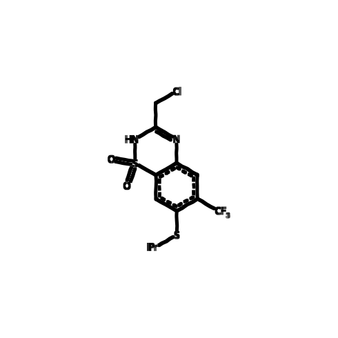 CC(C)Sc1cc2c(cc1C(F)(F)F)N=C(CCl)NS2(=O)=O